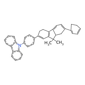 CC1(C)C2=C(CCC(c3ccc(-n4c5ccccc5c5ccccc54)cc3)=C2)C2=CC=C(C3=CC=CCC3)CC21